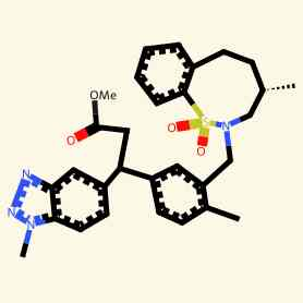 COC(=O)CC(c1ccc(C)c(CN2C[C@@H](C)CCc3ccccc3S2(=O)=O)c1)c1ccc2c(c1)nnn2C